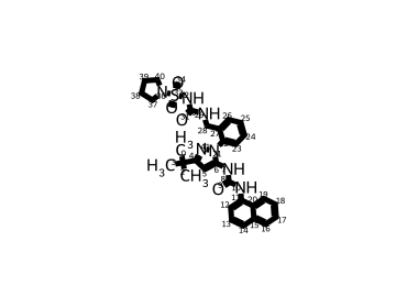 CC(C)(C)c1cc(NC(=O)Nc2cccc3ccccc23)n(-c2ccccc2CNC(=O)NS(=O)(=O)N2CCCC2)n1